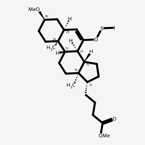 COC(=O)CCC[C@H]1CC[C@H]2[C@@H]3C(OSI)=C[C@@H]4C[C@H](OC)CC[C@]4(C)[C@H]3CC[C@]12C